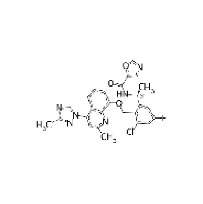 Cc1cc(-n2cnc(C)n2)c2cccc(OCc3c(Cl)cc(F)cc3[C@H](C)NC(=O)c3cnco3)c2n1